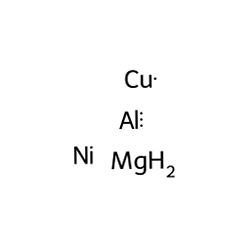 [Al].[Cu].[MgH2].[Ni]